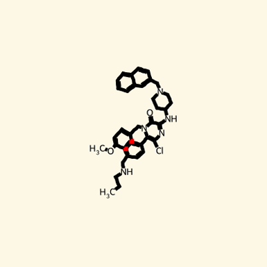 CCCNCc1ccc(-c2c(Cl)nc(NC3CCN(Cc4ccc5ccccc5c4)CC3)c(=O)n2Cc2ccc(OC)cc2)cc1